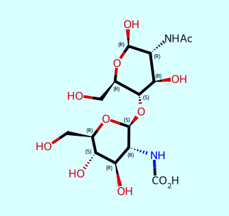 CC(=O)N[C@@H]1[C@@H](O)[C@H](O[C@@H]2O[C@H](CO)[C@@H](O)[C@H](O)[C@H]2NC(=O)O)[C@@H](CO)O[C@H]1O